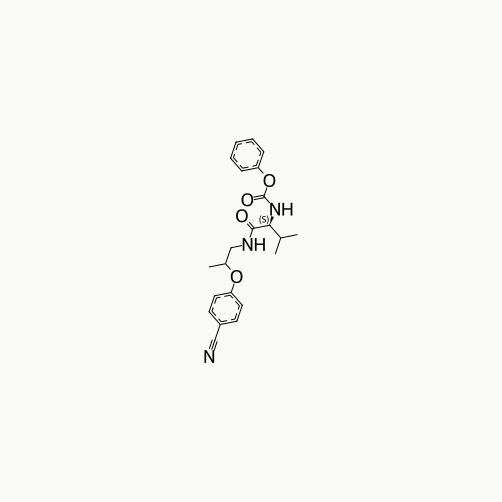 CC(CNC(=O)[C@@H](NC(=O)Oc1ccccc1)C(C)C)Oc1ccc(C#N)cc1